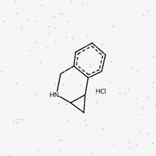 Cl.c1ccc2c(c1)CNC1CC21